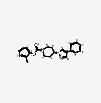 Cc1ncccc1OC(=O)N1CCC(n2cc(-c3ccccc3)cn2)CC1